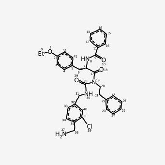 CCOc1ccc(C[C@@H](NC(=O)c2ccccc2)C(=O)N(CCc2ccccc2)C(=O)NCc2ccc(CN)c(Cl)c2)cc1